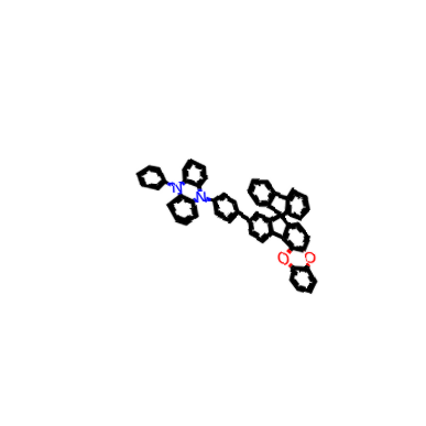 c1ccc(N2c3ccccc3N(c3ccc(-c4ccc5c(c4)C4(c6ccccc6-c6ccccc64)c4ccc6c(c4-5)Oc4ccccc4O6)cc3)c3ccccc32)cc1